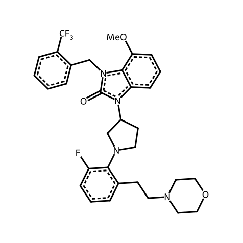 COc1cccc2c1n(Cc1ccccc1C(F)(F)F)c(=O)n2C1CCN(c2c(F)cccc2CCN2CCOCC2)C1